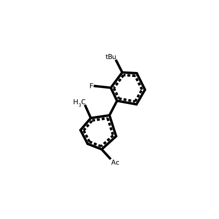 CC(=O)c1ccc(C)c(-c2cccc(C(C)(C)C)c2F)c1